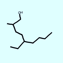 CCCCC(CC)CCC(C)CO